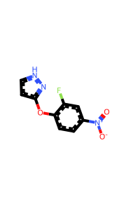 O=[N+]([O-])c1ccc(Oc2cc[nH]n2)c(F)c1